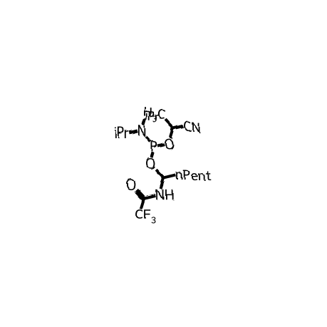 CCCCCC(NC(=O)C(F)(F)F)OP(OC(C)C#N)N(C(C)C)C(C)C